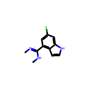 C/N=C(\NC)c1cc(F)cc2[nH]ccc12